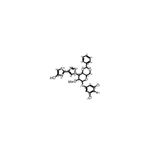 COC1C(Sc2cc(Cl)c(F)c(Cl)c2)OC2COC(c3ccccc3)OC2C1n1cc(-c2nc(O)cs2)nn1